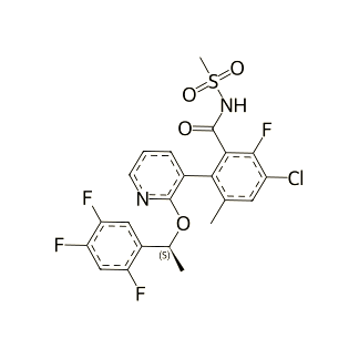 Cc1cc(Cl)c(F)c(C(=O)NS(C)(=O)=O)c1-c1cccnc1O[C@@H](C)c1cc(F)c(F)cc1F